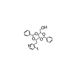 OCC1OC(c2ccccc2)OC2C(Cc3cnccc3I)OC(c3ccccc3)OC12